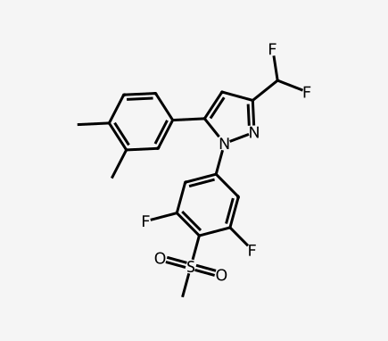 Cc1ccc(-c2cc(C(F)F)nn2-c2cc(F)c(S(C)(=O)=O)c(F)c2)cc1C